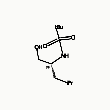 CC(C)C[C@H](CO)NS(=O)(=O)C(C)(C)C